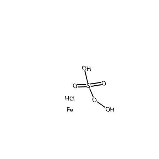 Cl.O=S(=O)(O)OO.[Fe]